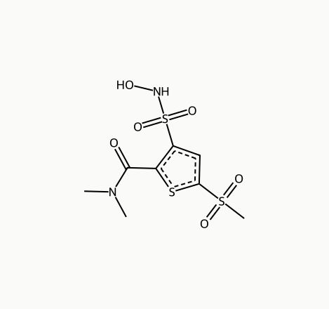 CN(C)C(=O)c1sc(S(C)(=O)=O)cc1S(=O)(=O)NO